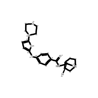 O=C(N[C@H]1CN2CCC1CC2)c1ccc(Sc2ccc(N3CCOCC3)o2)cc1